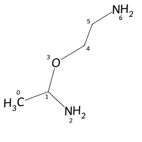 CC(N)OCCN